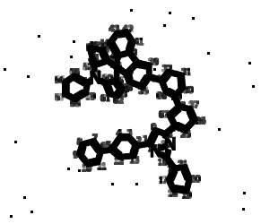 C1=C(c2ccc(-c3ccccc3)cc2)N2C(c3ccccc3)N2C1c1cccc(-c2cccc(-c3ccc4c(c3)-c3ccccc3C43c4ccccc4N(c4ccccc4)c4ccccc43)c2)c1